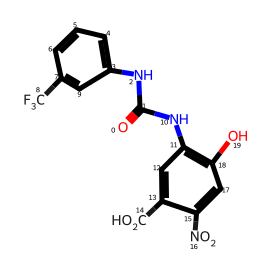 O=C(Nc1cccc(C(F)(F)F)c1)Nc1cc(C(=O)O)c([N+](=O)[O-])cc1O